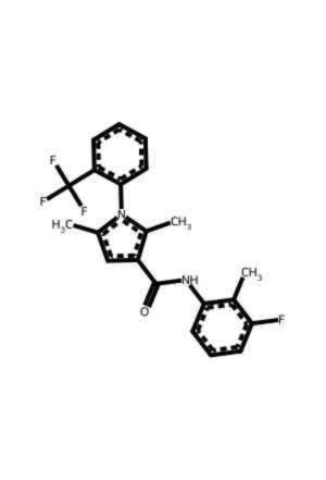 Cc1c(F)cccc1NC(=O)c1cc(C)n(-c2ccccc2C(F)(F)F)c1C